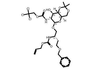 C=CCOC(=O)N[C@@H](CCOCc1ccccc1)CO[C@@H]1O[C@@H]2COC(C)(C)O[C@H]2[C@H](O)[C@H]1NC(=O)OCC(Cl)(Cl)Cl